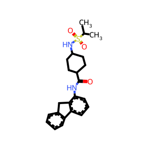 CC(C)S(=O)(=O)NC1CCC(C(=O)Nc2cccc3c2Cc2ccccc2-3)CC1